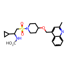 Cc1cc(COC2CCN(S(=O)(=O)CC(NC(=O)O)C3CC3)CC2)c2ccccc2n1